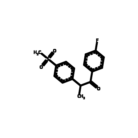 CC(C(=O)c1ccc(F)cc1)c1ccc(S(C)(=O)=O)cc1